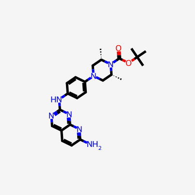 C[C@@H]1CN(c2ccc(Nc3ncc4ccc(N)nc4n3)cc2)C[C@H](C)N1C(=O)OC(C)(C)C